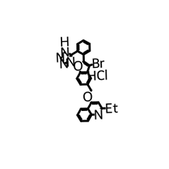 CCc1cc(OCc2ccc3oc(-c4ccccc4-c4nnn[nH]4)c(Br)c3c2)c2ccccc2n1.Cl